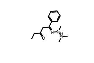 CCC(=O)CC(=NN(C)[SiH](C)C)c1ccccc1